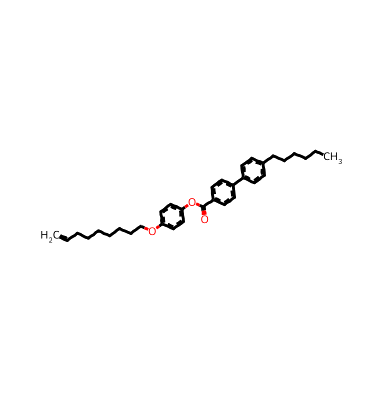 C=CCCCCCCCOc1ccc(OC(=O)c2ccc(-c3ccc(CCCCCC)cc3)cc2)cc1